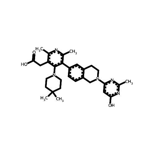 Cc1nc(O)cc(N2CCc3cc(-c4c(C)nc(C)c(CC(=O)O)c4N4CCC(C)(C)CC4)ccc3C2)n1